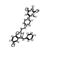 Cn1c(N2CCN(CCCOc3ccc(Cl)cc3NCc3ccccc3)CC2)cc(=O)n(C)c1=O